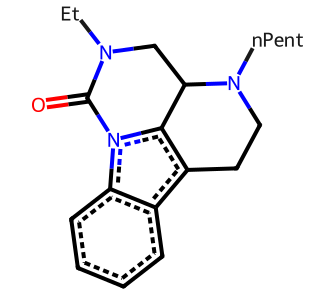 CCCCCN1CCc2c3n(c4ccccc24)C(=O)N(CC)CC31